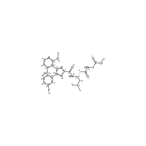 COC(=O)CNC(=O)C[C@H](CC(C)C)NC(=O)c1cc(-c2c(OC)cccc2OC)n(-c2cccc(F)c2)n1